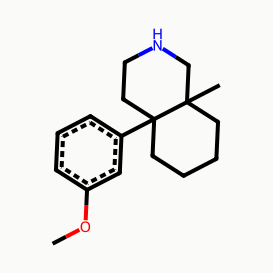 COc1cccc(C23CCCCC2(C)CNCC3)c1